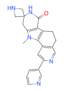 Cn1c2c(c3c1-c1cc(-c4cccnc4)ncc1CC3)C(=O)NC1(CNC1)C2